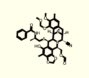 COCOc1c(OC)c(C)cc2c1[C@@H]1C3[C@H](SC[C@@H](C)NC(=O)c4ccccc4)c4c(O)c(C)c5c(c4[C@H](COC=O)N3[C@@H](C#N)[C@H](C2)N1C)OCO5